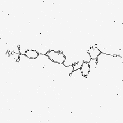 CC(C)NC(=O)c1cccc(C(=O)NCc2cncc(-c3ccc(S(C)(=O)=O)cc3)c2)n1